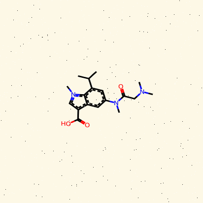 CC(C)c1cc(N(C)C(=O)CN(C)C)cc2c(C(=O)O)cn(C)c12